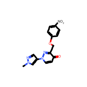 Cn1cc(-n2ccc(=O)c(COc3ccc([N+](=O)[O-])cc3)n2)cn1